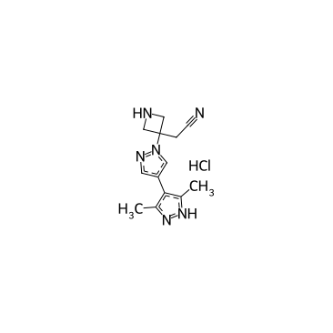 Cc1n[nH]c(C)c1-c1cnn(C2(CC#N)CNC2)c1.Cl